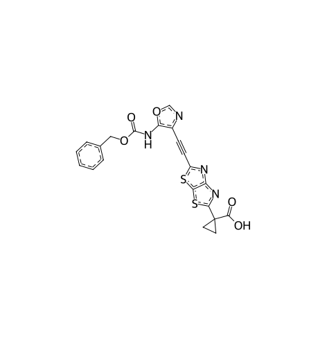 O=C(Nc1ocnc1C#Cc1nc2nc(C3(C(=O)O)CC3)sc2s1)OCc1ccccc1